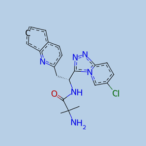 CC(C)(N)C(=O)N[C@H](Cc1ccc2ccccc2n1)c1nnc2ccc(Cl)cn12